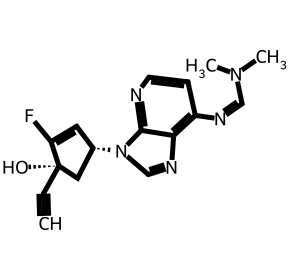 C#C[C@]1(O)C[C@@H](n2cnc3c(/N=C\N(C)C)ccnc32)C=C1F